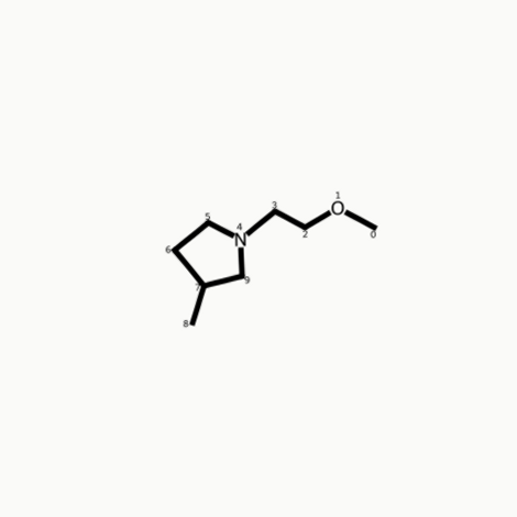 COCCN1CCC(C)C1